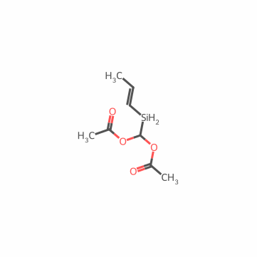 CC=C[SiH2]C(OC(C)=O)OC(C)=O